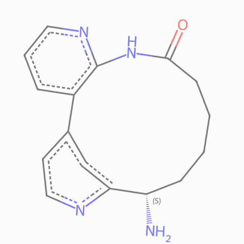 N[C@H]1CCCCC(=O)Nc2ncccc2-c2ccnc1c2